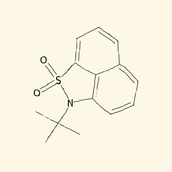 CC(C)(C)N1c2cccc3cccc(c23)S1(=O)=O